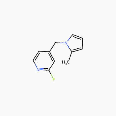 Cc1cccn1Cc1ccnc(F)c1